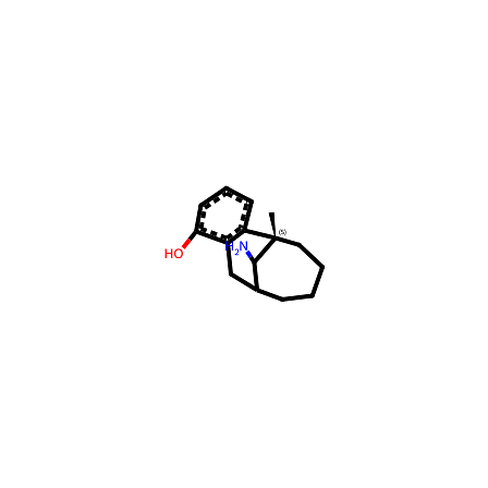 C[C@]12CCCCC(Cc3c(O)cccc31)C2N